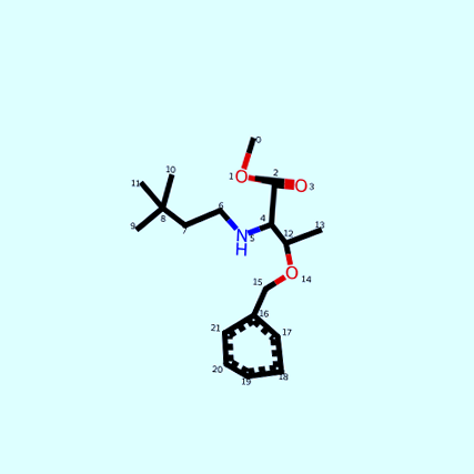 COC(=O)C(NCCC(C)(C)C)C(C)OCc1ccccc1